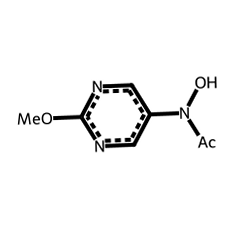 COc1ncc(N(O)C(C)=O)cn1